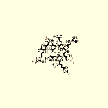 CC[C@H](C)[C@H](NC(=O)[C@H](Cc1c[nH]cn1)NC(=O)[C@@H](N)CCC(N)=O)C(=O)N[C@@H](CCCNC(=N)N)C(=O)N[C@@H](CCC(=O)O)C(=O)N[C@@H](CC(C)C)C(=O)N[C@H](C(=O)N[C@@H](CCCNC(=N)N)C(=O)O)[C@@H](C)O